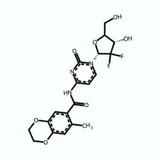 Cc1cc2c(cc1C(=O)Nc1ccn([C@@H]3OC(CO)[C@H](O)C3(F)F)c(=O)n1)OCCO2